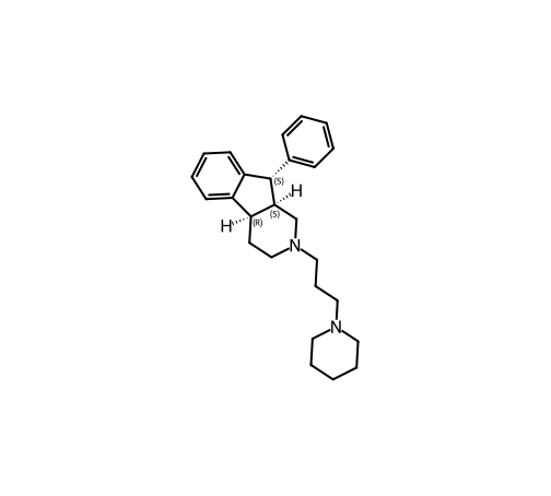 c1ccc([C@H]2c3ccccc3[C@@H]3CCN(CCCN4CCCCC4)C[C@H]23)cc1